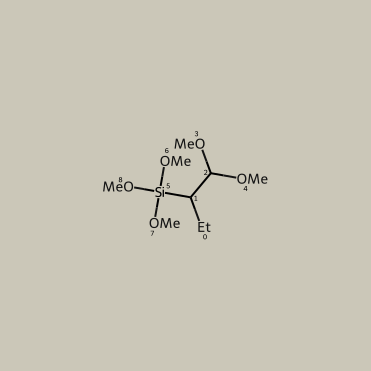 CCC(C(OC)OC)[Si](OC)(OC)OC